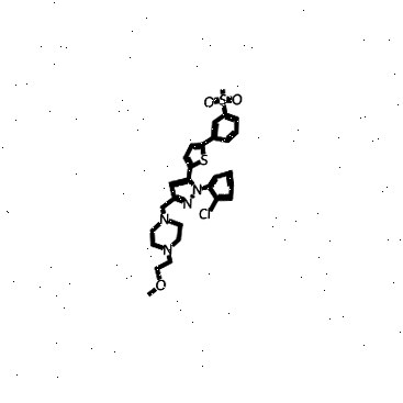 COCCN1CCN(Cc2cc(-c3ccc(-c4cccc(S(C)(=O)=O)c4)s3)n(-c3ccccc3Cl)n2)CC1